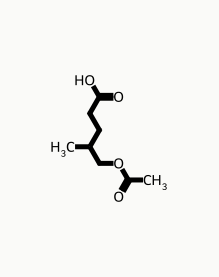 CC(=O)OCC(C)CCC(=O)O